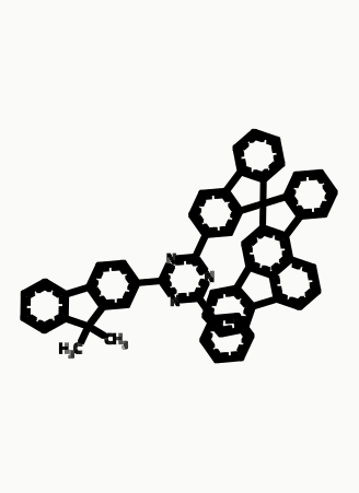 CC1(C)c2ccccc2-c2ccc(-c3nc(-c4ccccc4)nc(-c4ccc5c(c4)C4(c6ccccc6-5)c5ccccc5-c5c4cc4c6c(cccc56)-c5ccccc5-4)n3)cc21